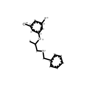 CC(COCc1ccccc1)Oc1cc(F)cc(Cl)c1